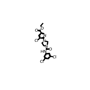 CCOC(=O)c1cnc(N2CCN(C(=O)Nc3cc(Cl)cc(Cl)c3)CC2)c(Cl)c1